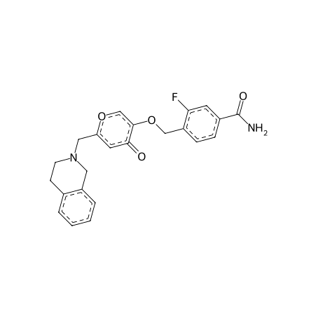 NC(=O)c1ccc(COc2coc(CN3CCc4ccccc4C3)cc2=O)c(F)c1